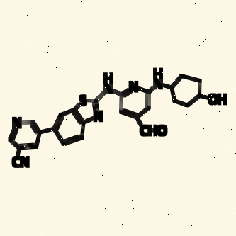 N#Cc1cncc(-c2ccc3nc(Nc4cc(C=O)cc(NC5CCC(O)CC5)n4)sc3c2)c1